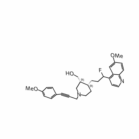 COc1ccc(C#CCN2CC[C@@H](CCC(F)c3ccnc4ccc(OC)cc34)[C@@H](CO)C2)cc1